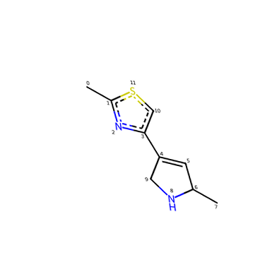 Cc1nc(C2=CC(C)NC2)cs1